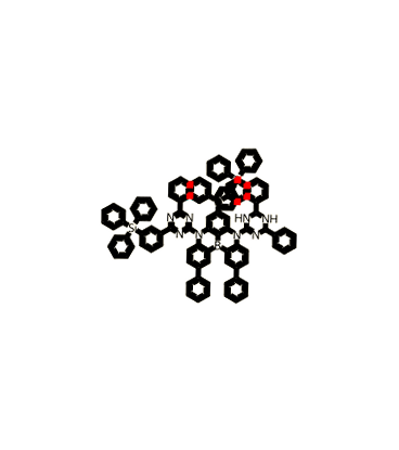 c1ccc(-c2ccc3c(c2)B2c4cc(-c5ccccc5)ccc4N(c4nc(-c5ccccc5)nc(-c5cccc([Si](c6ccccc6)(c6ccccc6)c6ccccc6)c5)n4)c4cc(N(c5ccccc5)c5ccccc5)cc(c42)N3C2=NC(c3ccccc3)NC(c3cccc([Si](c4ccccc4)(c4ccccc4)c4ccccc4)c3)N2)cc1